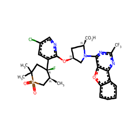 C[C@H]1CS(=O)(=O)C(C)(C)C[C@]1(F)c1cc(Cl)cnc1O[C@H]1C[C@@H](C(=O)O)N(c2nc(C(F)(F)F)nc3c2oc2ccccc23)C1